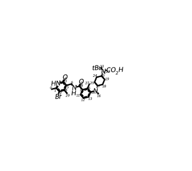 Cc1[nH]c(=O)c(CNC(=O)c2cccc(N(C)[C@H]3CC[C@H](N(C(=O)O)C(C)(C)C)CC3)c2C)c(C)c1Br